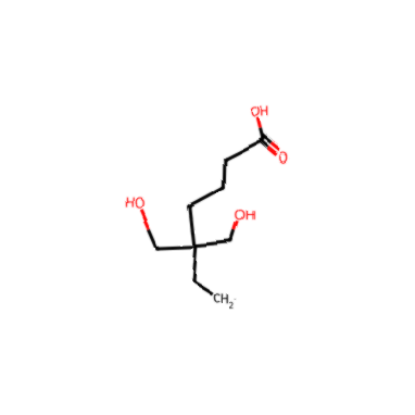 [CH2]CC(CO)(CO)CCCC(=O)O